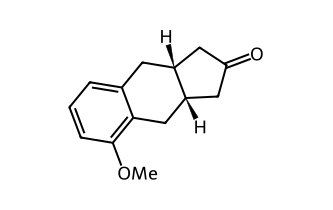 COc1cccc2c1C[C@H]1CC(=O)C[C@H]1C2